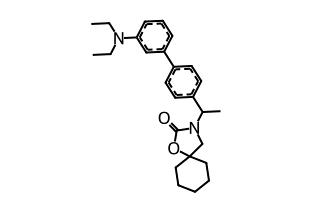 CCN(CC)c1cccc(-c2ccc(C(C)N3CC4(CCCCC4)OC3=O)cc2)c1